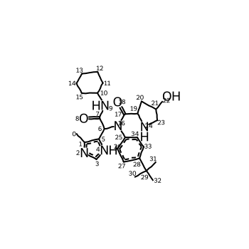 Cc1nc[nH]c1C(C(=O)NC1CCCCC1)N(C(=O)C1CC(O)CN1)c1ccc(C(C)(C)C)cc1